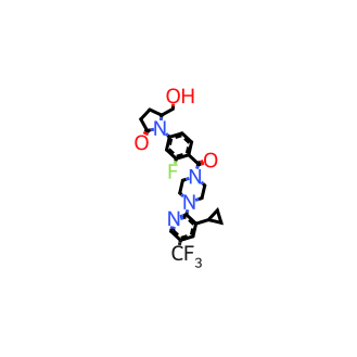 O=C(c1ccc(N2C(=O)CCC2CO)cc1F)N1CCN(c2ncc(C(F)(F)F)cc2C2CC2)CC1